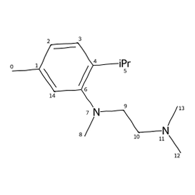 Cc1ccc(C(C)C)c(N(C)CCN(C)C)c1